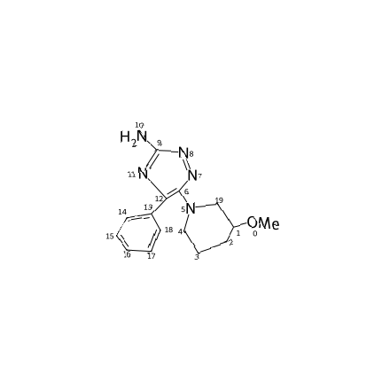 COC1CCCN(c2nnc(N)nc2-c2ccccc2)C1